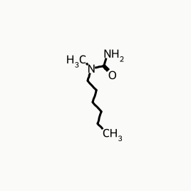 CCCCCCN(C)C(N)=O